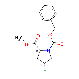 COC(=O)[C@H]1C[C@@H](F)CN1C(=O)OCc1ccccc1